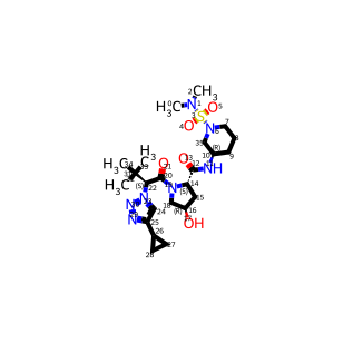 CN(C)S(=O)(=O)N1CCC[C@@H](NC(=O)[C@@H]2C[C@@H](O)CN2C(=O)[C@@H](n2cc(C3CC3)nn2)C(C)(C)C)C1